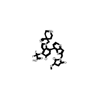 COC1CC(=O)N(Cc2cc3nccc(-c4cc(Cl)cc5ccn(CC6(C#N)CCNCC6)c45)c3s2)C1=O.O=C(O)C(F)(F)F